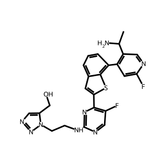 CC(N)c1cnc(F)cc1-c1cccc2cc(-c3nc(NCCn4nncc4CO)ncc3F)sc12